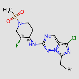 CC(C)Cc1nc(Cl)c2cnc(N[C@@H]3CCN(S(C)(=O)=O)C[C@@H]3F)nn12